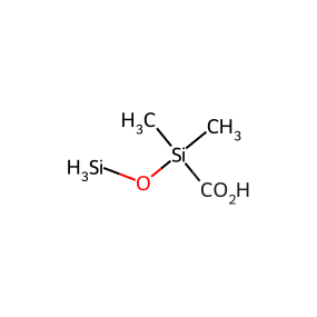 C[Si](C)(O[SiH3])C(=O)O